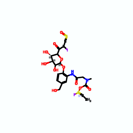 B/B=S(\I)OC(=O)N(C)CC(=O)Nc1cc(CO)ccc1O[C@@H]1OC(C(=O)B(I)B=S=O)[C@@H](O)[C@H](O)C1O